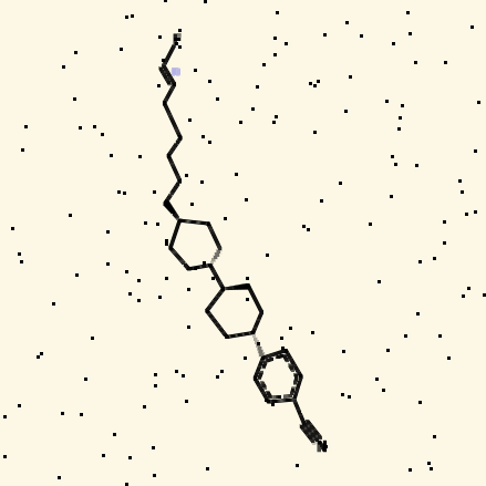 N#Cc1ccc([C@H]2CC[C@H]([C@H]3CC[C@H](CCCCC/C=C/F)CC3)CC2)cc1